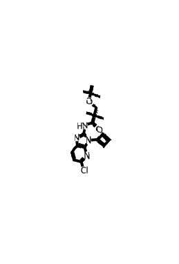 CC(C)(C)OCC(C)(C)C(=O)Nc1nc2ccc(Cl)nc2n1C1=CC=C1